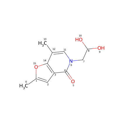 Cc1cc2c(=O)n(CC(O)O)cc(C)c2o1